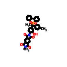 Cc1ccc(C(C)(c2ccc(-n3c(=O)c4cc5c(=O)n(C)c(=O)c5cc4c3=O)c(O)c2)P2(=O)Oc3ccccc3-c3ccccc32)cc1